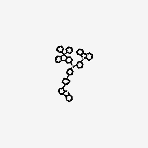 c1ccc(C2(c3ccccc3)c3ccccc3-c3cc(N(c4ccc(-c5ccc(-c6cccc7c6sc6ccccc67)cc5)cc4)c4cccc(-n5c6ccccc6c6ccccc65)c4)ccc32)cc1